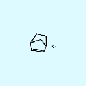 C1=CC2CCC1C2.[K]